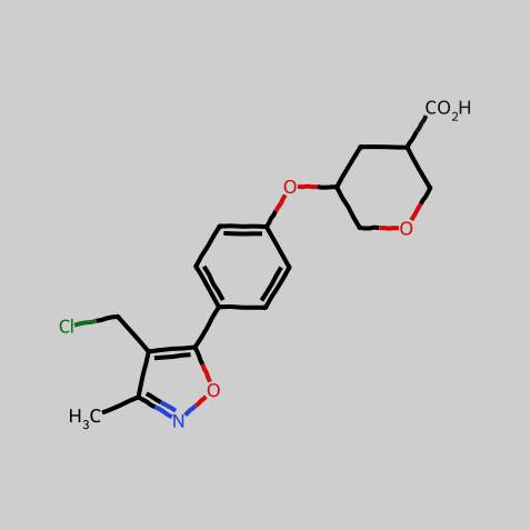 Cc1noc(-c2ccc(OC3COCC(C(=O)O)C3)cc2)c1CCl